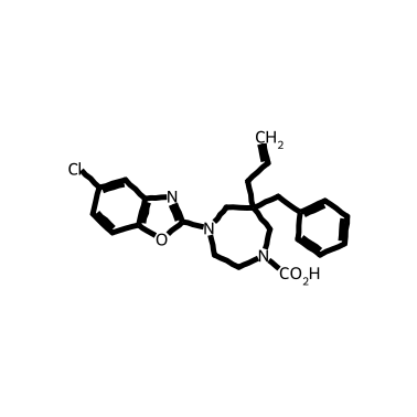 C=CCC1(Cc2ccccc2)CN(C(=O)O)CCN(c2nc3cc(Cl)ccc3o2)C1